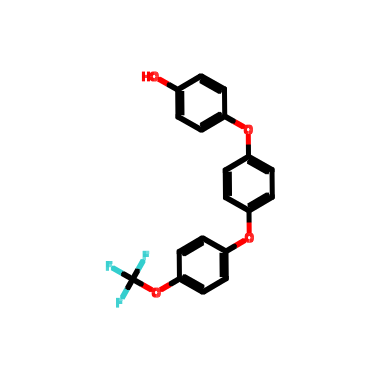 Oc1ccc(Oc2ccc(Oc3ccc(OC(F)(F)F)cc3)cc2)cc1